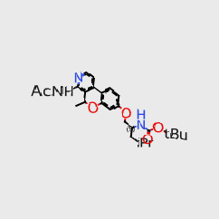 CC(=O)Nc1nccc2c1C(C)Oc1cc(OC[C@H](CC(C)C)NC(=O)OC(C)(C)C)ccc1-2